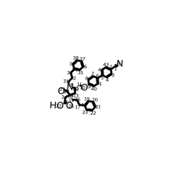 N#Cc1ccc(-c2ccc(OC[C@@H]3C[C@@](CCCc4ccccc4)(CC(=O)O)C(=O)N3CCCc3ccccc3)cc2)cc1